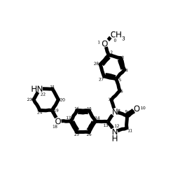 COc1ccc(CCN2C(=O)CNC2c2ccc(OC3CCNCC3)cc2)cc1